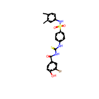 Cc1ccc(NS(=O)(=O)c2ccc(NC(=S)NC(=O)c3ccc(O)c(Br)c3)cc2)cc1C